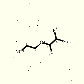 N#CCCOC(F)C(F)F